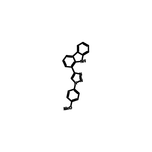 COc1ccc(-n2cc(-c3cccc4c3[nH]c3ccccc34)nn2)cc1